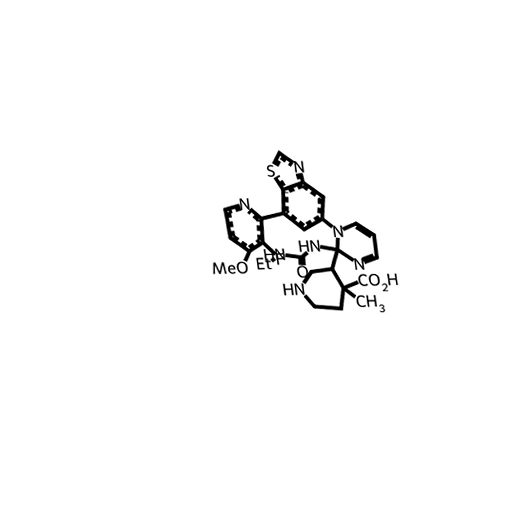 CCNC(=O)NC1(C2CNCCC2(C)C(=O)O)N=CC=CN1c1cc(-c2nccc(OC)c2F)c2scnc2c1